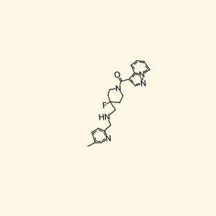 Cc1ccc(CNCC2(F)CCN(C(=O)c3cnn4ccccc34)CC2)nc1